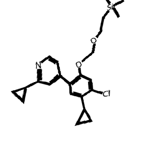 C[Si](C)(C)CCOCOc1cc(Cl)c(C2CC2)cc1-c1ccnc(C2CC2)c1